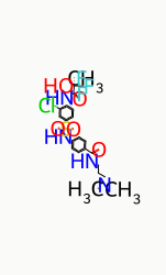 CN(C)CCCNC(=O)c1ccc(NS(=O)(=O)c2ccc(NC(=O)[C@@](C)(O)C(F)(F)F)c(Cl)c2)cc1